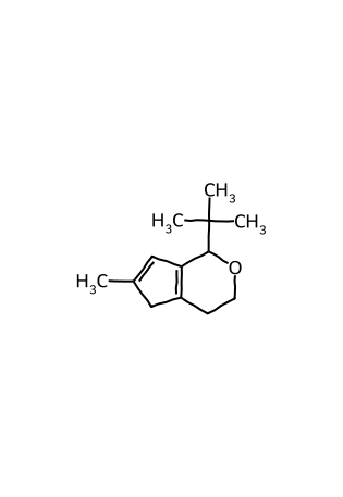 CC1=CC2=C(CCOC2C(C)(C)C)C1